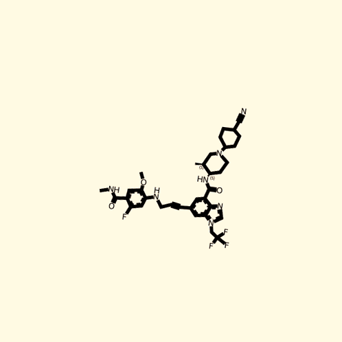 CNC(=O)c1cc(OC)c(NCC#Cc2cc(C(=O)N[C@H]3CCN(C4CCC(C#N)CC4)C[C@@H]3C)c3ncn(CC(F)(F)F)c3c2)cc1F